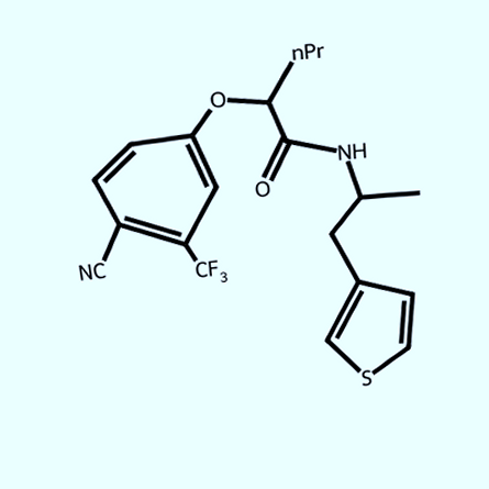 CCCC(Oc1ccc(C#N)c(C(F)(F)F)c1)C(=O)NC(C)Cc1ccsc1